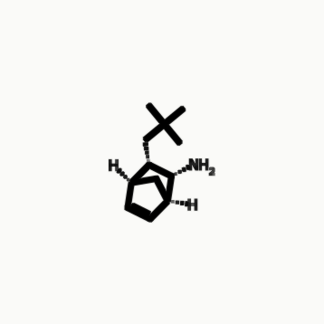 CC(C)(C)C[C@@H]1[C@H](N)[C@H]2C=C[C@@H]1C2